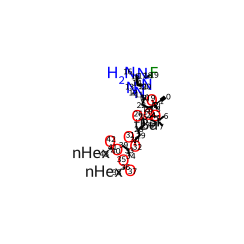 C#C[C@]1(CO[Si](C)(C)C(C)(C)C)O[C@@H](n2cnc3c(N)nc(F)nc32)C[C@@H]1OC(=O)CCCC(=O)OC(COC(=O)CCCCCC)COC(=O)CCCCCC